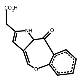 O=C(O)CC1=CC2=COc3ccccc3C(=O)C2N1